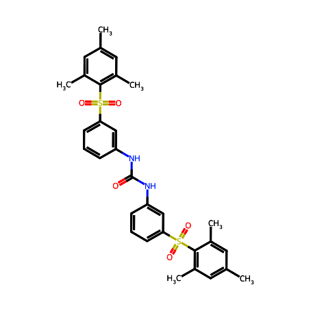 Cc1cc(C)c(S(=O)(=O)c2cccc(NC(=O)Nc3cccc(S(=O)(=O)c4c(C)cc(C)cc4C)c3)c2)c(C)c1